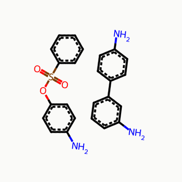 Nc1ccc(-c2cccc(N)c2)cc1.Nc1ccc(OS(=O)(=O)c2ccccc2)cc1